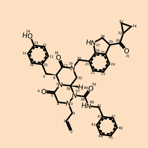 C=CCN1CC(=O)N2[C@@H](Cc3ccc(O)cc3)C(=O)N(Cc3cccc4c3NCC4C(=O)C3CC3)C[C@@H]2N1C(=O)NCc1ccccc1